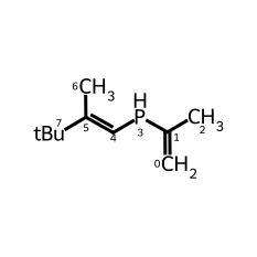 C=C(C)P/C=C(\C)C(C)(C)C